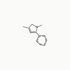 CC1=C=C(c2ccccc2)N(C)C1